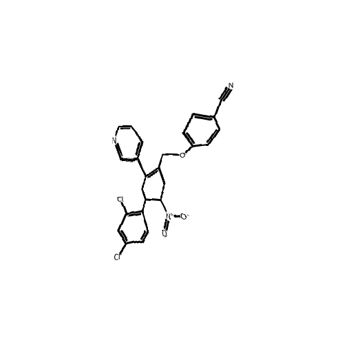 N#Cc1ccc(OCC2=C(c3cccnc3)CC(c3ccc(Cl)cc3Cl)C([N+](=O)[O-])C2)cc1